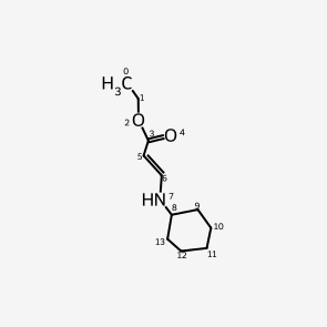 CCOC(=O)C=CNC1CCCCC1